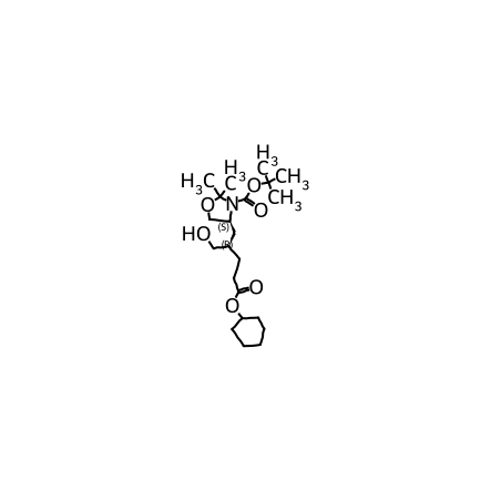 CC(C)(C)OC(=O)N1[C@@H](C[C@H](CO)CCC(=O)OC2CCCCC2)COC1(C)C